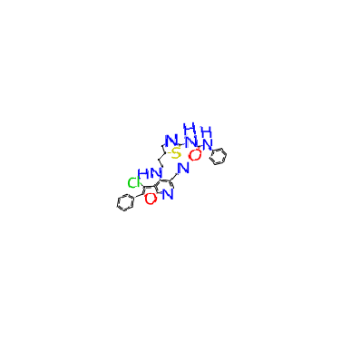 N#Cc1cnc2oc(-c3ccccc3)c(Cl)c2c1NCCC1CN=C(NC(=O)Nc2ccccc2)S1